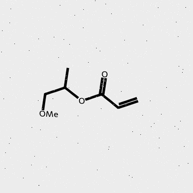 C=CC(=O)OC(C)COC